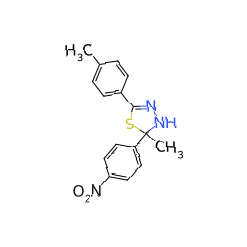 Cc1ccc(C2=NNC(C)(c3ccc([N+](=O)[O-])cc3)S2)cc1